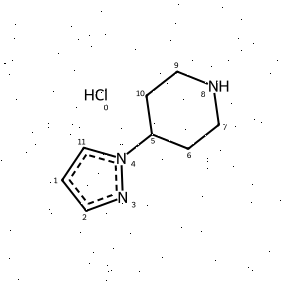 Cl.c1cnn(C2CCNCC2)c1